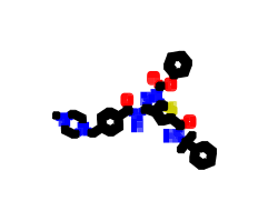 CN1CCN(Cc2ccc(C(=O)Nc3nn(C(=O)Oc4ccccc4)c4sc(C(=O)NC(C)(C)c5ccccc5)cc34)cc2)CC1